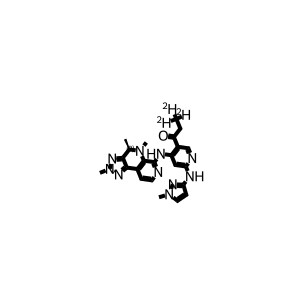 [2H]C([2H])([2H])CC(=O)c1cnc(Nc2ccn(C)n2)cc1Nc1nccc2c1N(C)[C@H](C)c1nn(C)nc1-2